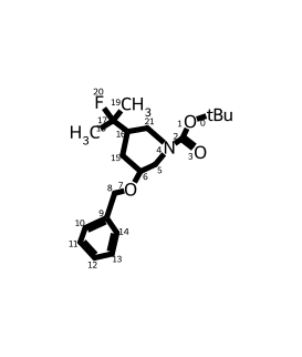 CC(C)(C)OC(=O)N1CC(OCc2ccccc2)CC(C(C)(C)F)C1